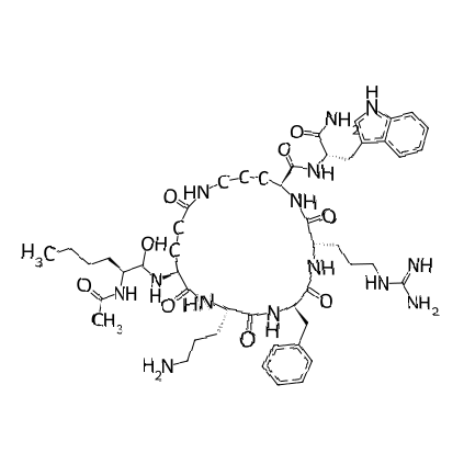 CCCC[C@H](NC(C)=O)C(O)N[C@H]1CCC(=O)NCCC[C@@H](C(=O)N[C@@H](Cc2c[nH]c3ccccc23)C(N)=O)NC(=O)[C@H](CCCNC(=N)N)NC(=O)[C@@H](Cc2ccccc2)NC(=O)[C@H](CCCN)NC1=O